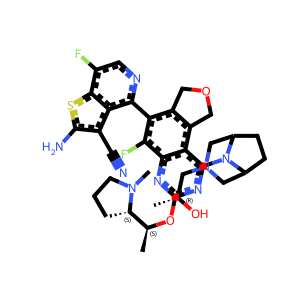 C[C@H](Oc1nc(N2C3CCC2CN(C[C@@H](C)O)C3)c2c3c(c(-c4ncc(F)c5sc(N)c(C#N)c45)c(F)c2n1)COC3)[C@@H]1CCCN1C